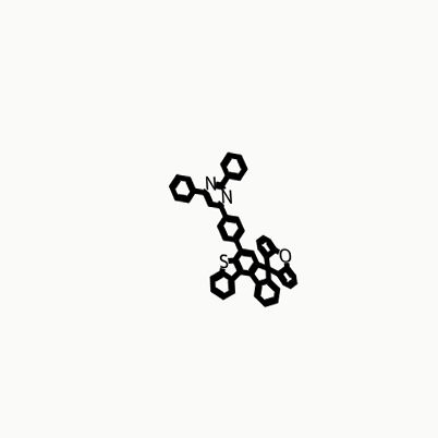 c1ccc(-c2cc(-c3ccc(-c4cc5c(c6c4sc4ccccc46)-c4ccccc4C54c5ccccc5Oc5ccccc54)cc3)nc(-c3ccccc3)n2)cc1